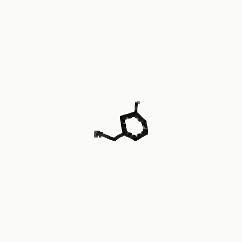 [CH2]c1cccc(CC(C)C)c1